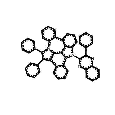 c1ccc(-c2nc3ccccc3nc2-n2c3cccc4c5ccccc5n5c(-c6ccccc6)c(-c6ccccc6)c6c7ccccc7c2c(c43)c65)cc1